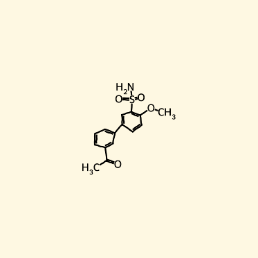 COc1ccc(-c2cccc(C(C)=O)c2)cc1S(N)(=O)=O